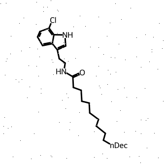 CCCCCCCCCCCCCCCCCCCC(=O)NCCc1c[nH]c2c(Cl)cccc12